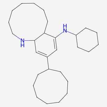 C1=C(C2CCCCCCCC2)C=C(NC2CCCCC2)C2CCCCCCCNC12